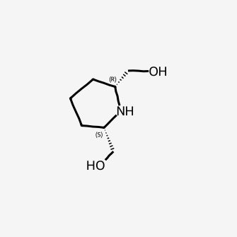 OC[C@@H]1CCC[C@H](CO)N1